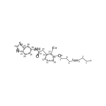 CCCC#CCCCOc1cccc(CC(=O)Nc2ccc3ncsc3c2)c1F